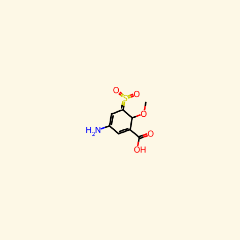 COC1C(C(=O)O)=CC(N)=CC1=S(=O)=O